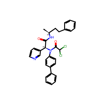 C[C@@H](CCc1ccccc1)NC(=O)[C@H](c1cccnc1)N(C(=O)C(Cl)Cl)c1ccc(-c2ccccc2)cc1